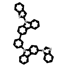 c1cc(-c2ccc3c(c2)c2ccccc2n3-c2cc3ccccc3s2)cc(-n2c3ccccc3c3cc(-n4cnc5ccccc54)ccc32)c1